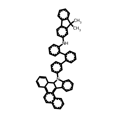 CC1(C)c2ccccc2-c2ccc(Nc3ccccc3-c3ccccc3-c3cccc(N4c5ccccc5C5=c6c(ccc7ccccc67)=C6C=CC=CC6C54)c3)cc21